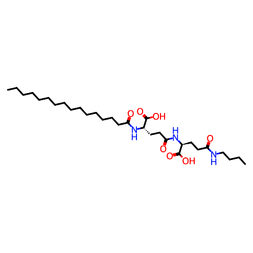 CCCCCCCCCCCCCCCC(=O)N[C@@H](CCC(=O)N[C@@H](CCC(=O)NCCCC)C(=O)O)C(=O)O